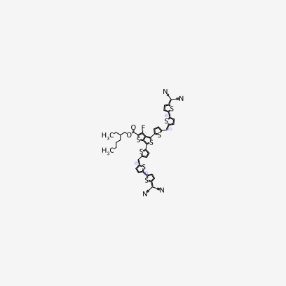 CCCCC(CC)COC(=O)c1sc2c(-c3ccc(/C=c4/cc/c(=c5/ccc(=C(C#N)C#N)s5)s4)s3)sc(-c3ccc(/C=c4/cc/c(=c5/ccc(=C(C#N)C#N)s5)s4)s3)c2c1F